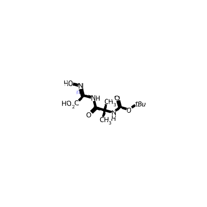 CC(C)(C)OC(=O)NC(C)(C)C(=O)N/C(=N/O)C(=O)O